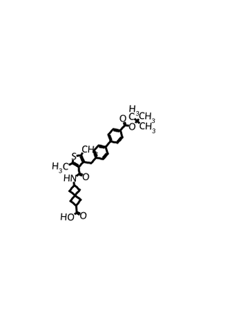 Cc1sc(C)c(C(=O)NC2CC3(C2)CC(C(=O)O)C3)c1Cc1ccc(-c2ccc(C(=O)OC(C)(C)C)cc2)cc1